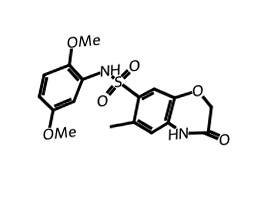 COc1ccc(OC)c(NS(=O)(=O)c2cc3c(cc2C)NC(=O)CO3)c1